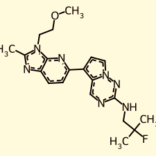 COCCn1c(C)nc2ccc(-c3ccn4nc(NCC(C)(C)F)ncc34)nc21